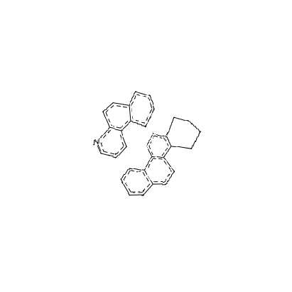 c1ccc2c(c1)ccc1c3c(ccc12)CCCC3.c1ccc2c(c1)ccc1ncccc12